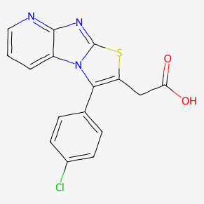 O=C(O)Cc1sc2nc3ncccc3n2c1-c1ccc(Cl)cc1